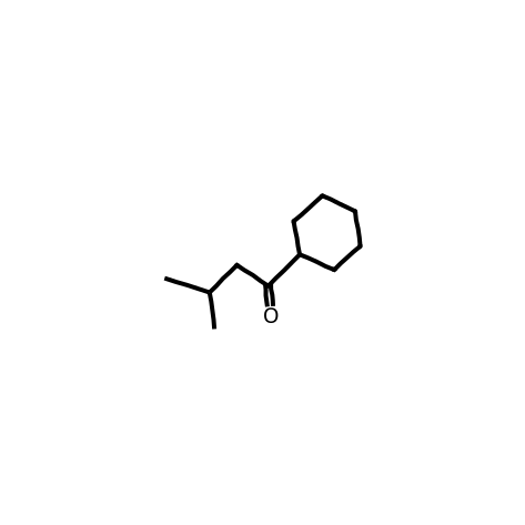 CC(C)CC(=O)C1CCCCC1